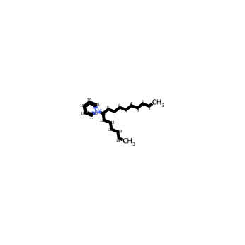 CCCCCCCCCC(CCCCCC)[n+]1ccccc1